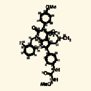 CONC(=O)Nc1ccc(-c2sc3c(c2CN(C)C)c(=O)n(-c2ccc(OC)cc2)c(=O)n3Cc2c(F)cccc2F)cc1